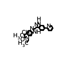 CCN1C(=O)C(C)(C)c2cc3nc(-c4n[nH]c5cc(-c6ccccn6)ccc45)[nH]c3cc21